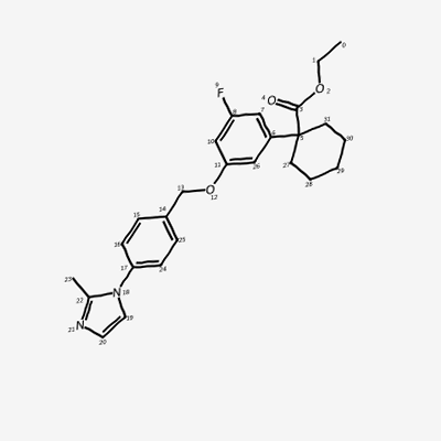 CCOC(=O)C1(c2cc(F)cc(OCc3ccc(-n4ccnc4C)cc3)c2)CCCCC1